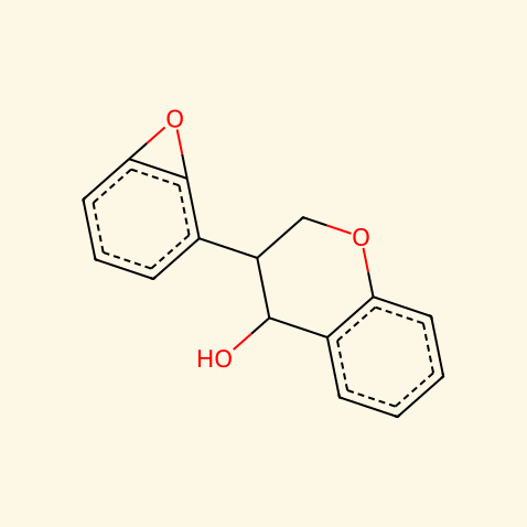 OC1c2ccccc2OCC1c1cccc2c1O2